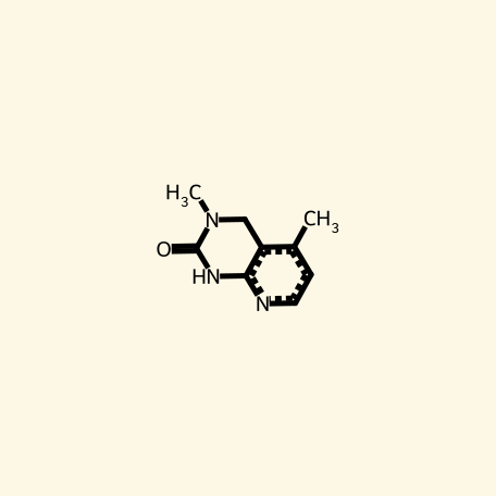 Cc1ccnc2c1CN(C)C(=O)N2